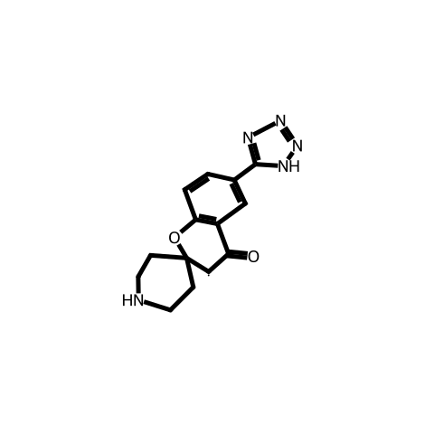 O=C1[CH]C2(CCNCC2)Oc2ccc(-c3nnn[nH]3)cc21